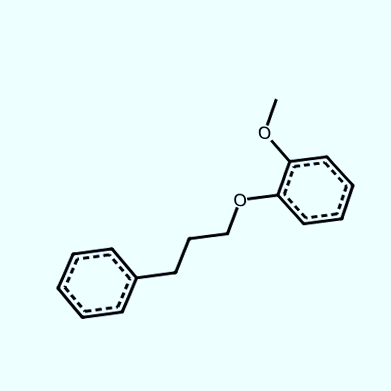 COc1ccccc1OCCCc1ccccc1